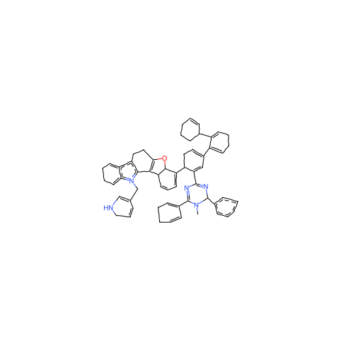 CN1C(C2=CCCC=C2)=NC(C2=CC(C3=CCCC=C3C3C=CCCC3)=CCC2C2=CC=CC3C4=C(CCc5c4n(CC4=CNCC=C4)c4c5=CCCC=4)OC23)=NC1c1ccccc1